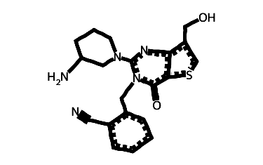 N#Cc1ccccc1Cn1c(N2CCCC(N)C2)nc2c(CO)csc2c1=O